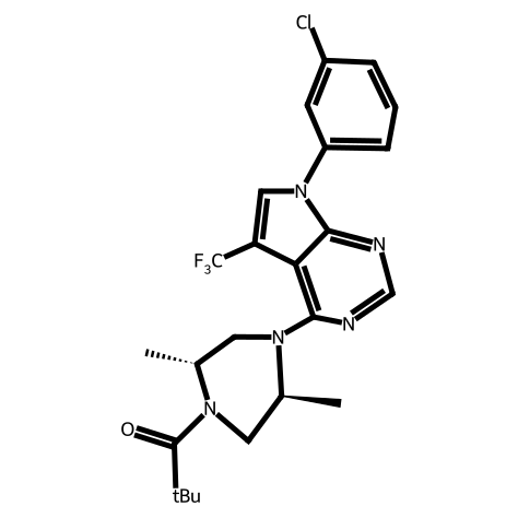 C[C@@H]1CN(c2ncnc3c2c(C(F)(F)F)cn3-c2cccc(Cl)c2)[C@@H](C)CN1C(=O)C(C)(C)C